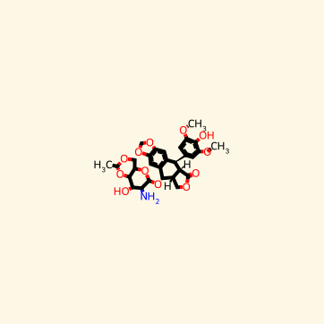 COc1cc([C@@H]2c3cc4c(cc3[C@@H](OC3OC5COC(C)OC5C(O)C3N)[C@H]3COC(=O)[C@H]23)OCO4)cc(OC)c1O